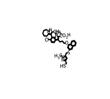 Cc1nn2c(c1-c1c(Cl)ccc3c(CCCOc4cc(SCc5cc(CS)nn5C)cc5ccccc45)c(C(=O)O)n(C)c13)CCCCC2